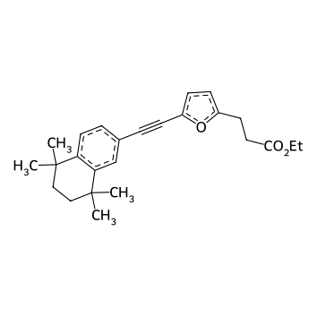 CCOC(=O)CCc1ccc(C#Cc2ccc3c(c2)C(C)(C)CCC3(C)C)o1